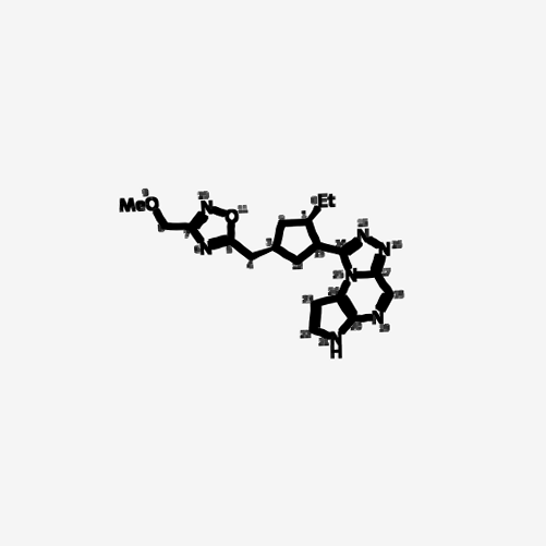 CC[C@@H]1C[C@H](Cc2nc(COC)no2)CC1c1nnc2cnc3[nH]ccc3n12